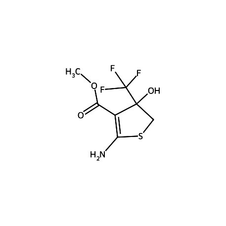 COC(=O)C1=C(N)SCC1(O)C(F)(F)F